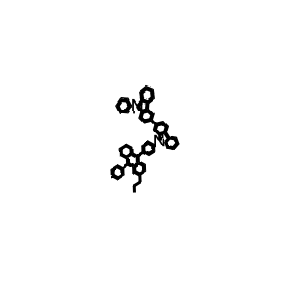 CCCc1ccc2c(-c3ccc(-n4c5ccccc5c5ccc(-c6ccc7c(c6)c6ccccc6n7-c6ccccc6)cc54)cc3)c3ccccc3c(-c3ccccc3)c2c1